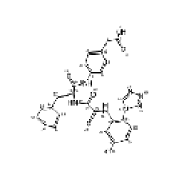 O=C(O)Cc1ccc(NC(=O)[C@H](Cc2ccccc2)NC(=O)C(=O)Nc2cc(Cl)ccc2-n2cnnn2)cc1